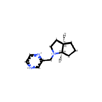 c1cnc(CN2CC[C@H]3CCC[C@H]32)cn1